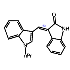 CCCn1cc(/C=C2/C(=O)Nc3ccccc32)c2ccccc21